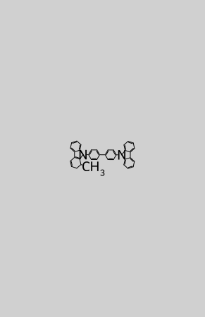 CC1CC=Cc2c1n(-c1ccc(-c3ccc(-n4c5ccccc5c5ccccc54)cc3)cc1)c1ccccc21